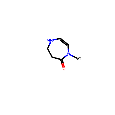 CC(C)N1C=CNCCC1=O